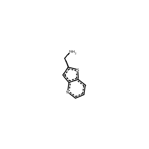 NCc1cc2ncccc2s1